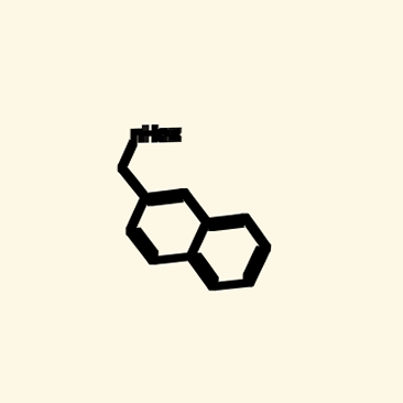 [CH2]CCCCCCc1ccc2ccccc2c1